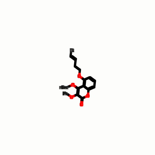 CCC=CCCOc1cccc2oc(=O)c(OC(C)C)c(OCCCCCCCCCC)c12